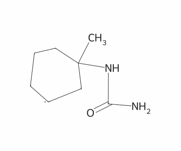 CC1(NC(N)=O)C[CH]CCC1